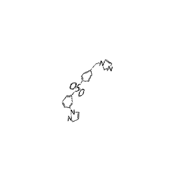 O=S(=O)(c1ccc(Cn2ccnc2)cc1)c1cccc(-n2cccn2)c1